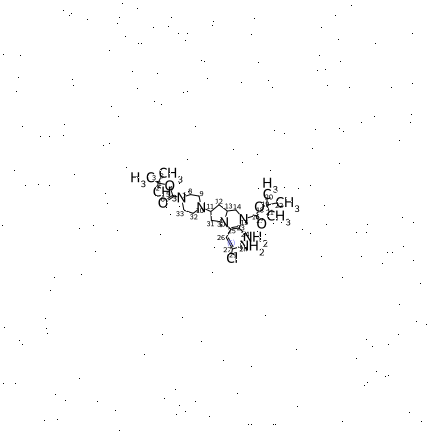 CC(C)(C)OC(=O)N1CCN(C2CC3CN(C(=O)OC(C)(C)C)C(N)=C(/C=C(\N)Cl)N3C2)CC1